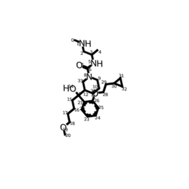 CNCC(C)NC(=O)N1CCCC(C(O)(CCCCOC)c2ccccc2OCCC2CC2)C1